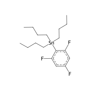 CCC[CH2][Sn]([CH2]CCC)([CH2]CCC)[c]1c(F)cc(F)cc1F